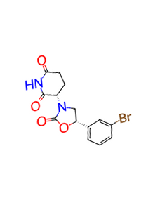 O=C1CC[C@H](N2C[C@H](c3cccc(Br)c3)OC2=O)C(=O)N1